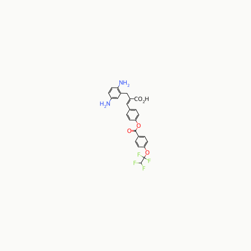 Nc1ccc(N)c(CC(=Cc2ccc(OC(=O)c3ccc(OC(F)(F)C(F)F)cc3)cc2)C(=O)O)c1